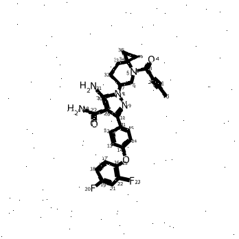 CC#CC(=O)N1CC(n2nc(-c3ccc(Oc4ccc(F)cc4F)cc3)c(C(N)=O)c2N)CCC12CC2